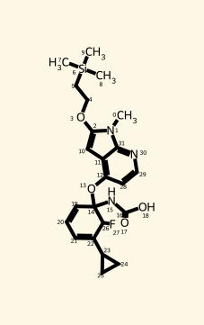 Cn1c(OCC[Si](C)(C)C)cc2c(OC3(NC(=O)O)C=CC=C(C4CC4)C3F)ccnc21